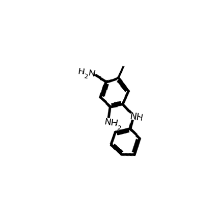 Cc1cc(Nc2ccccc2)c(N)cc1N